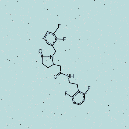 O=C(CC1CCC(=O)N1Cc1cccc(F)c1F)NCCc1c(F)cccc1F